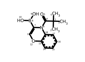 CC(C)(C)C(=O)N1C(B(O)O)=COc2ccccc21